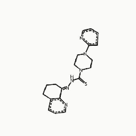 S=C(N/N=C1\CCCc2cccnc21)N1CCN(c2ccccn2)CC1